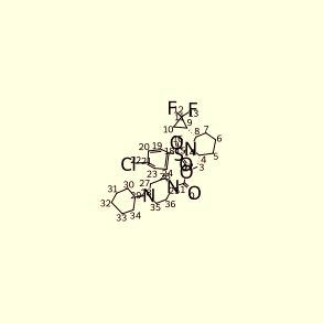 O=C(OC[C@H]1CCC[C@@H](C2CC2(F)F)N1S(=O)(=O)c1ccc(Cl)cc1)N1CCN(C2CCCCC2)CC1